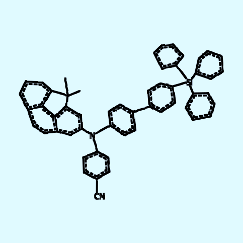 CC1(C)c2cccc3ccc4cc(N(c5ccc(C#N)cc5)c5ccc(-c6ccc([Si](c7ccccc7)(c7ccccc7)c7ccccc7)cc6)cc5)cc1c4c23